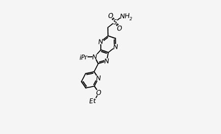 CCOc1cccc(-c2nc3ncc(CS(N)(=O)=O)nc3n2C(C)C)n1